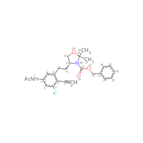 C#Cc1c(F)cc(NC(C)=O)cc1CC[C@H]1COC(C)(C)N1C(=O)OCc1ccccc1